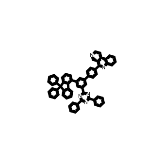 c1ccc(-c2nc(-c3ccccc3)nc(-c3cc(-c4ccc(-c5nc6ccccc6c6ccncc56)cc4)cc(-c4cccc5c4-c4ccccc4C5(c4ccccc4)c4ccccc4)c3)n2)cc1